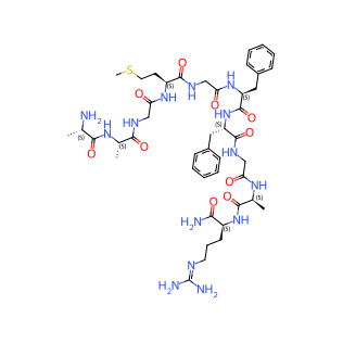 CSCC[C@H](NC(=O)CNC(=O)[C@H](C)NC(=O)[C@H](C)N)C(=O)NCC(=O)N[C@@H](Cc1ccccc1)C(=O)N[C@@H](Cc1ccccc1)C(=O)NCC(=O)N[C@@H](C)C(=O)N[C@@H](CCCN=C(N)N)C(N)=O